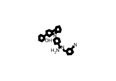 N#Cc1cccc(C/N=C(\N)c2ccc(-n3c4ccccc4c4ccc(-c5ccccc5O)cc43)cc2)c1